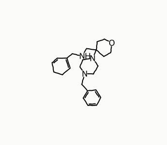 C1=CC(CNCC2(N3CCN(Cc4ccccc4)CC3)CCOCC2)=CCC1